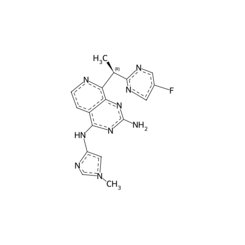 C[C@@H](c1ncc(F)cn1)c1nccc2c(Nc3cn(C)cn3)nc(N)nc12